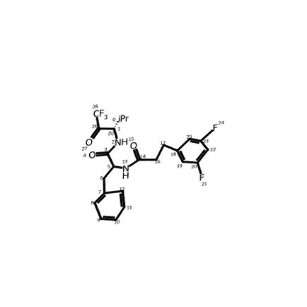 CC(C)[C@H](NC(=O)C(Cc1ccccc1)NC(=O)CCc1cc(F)cc(F)c1)C(=O)C(F)(F)F